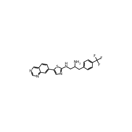 NC(CNc1ncc(-c2ccc3cncnc3c2)s1)Cc1ccc(C(F)(F)F)cc1